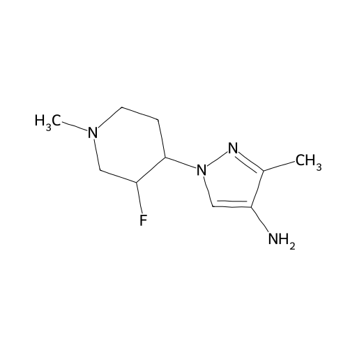 Cc1nn(C2CCN(C)CC2F)cc1N